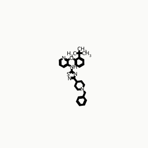 CC(C)(C)c1ccccc1Oc1ncccc1Nc1nc(C2CCN(Cc3ccccc3)CC2)ns1